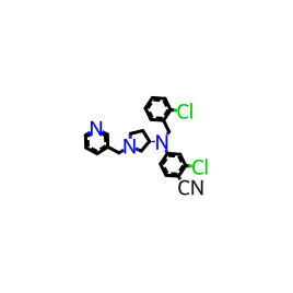 N#Cc1ccc(N(Cc2ccccc2Cl)[C@H]2CCN(Cc3cccnc3)C2)cc1Cl